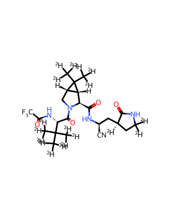 [2H]C1([2H])C[C@@]([2H])(C[C@@H](C#N)NC(=O)[C@@H]2[C@@H]3[C@H](CN2C(=O)[C@@H](NC(=O)C(F)(F)F)C(C([2H])([2H])[2H])(C([2H])([2H])[2H])C([2H])([2H])[2H])C3(C([2H])([2H])[2H])C([2H])([2H])[2H])C(=O)N1